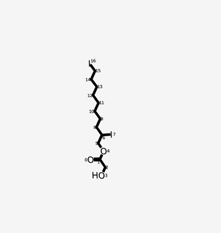 O=C(CO)OCC(I)CCCCCCCCI